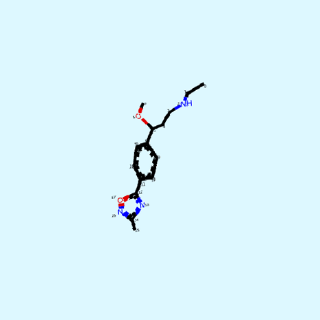 CCNCCC(OC)c1ccc(-c2nc(C)no2)cc1